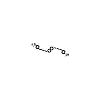 CNc1ccc(CCCCCc2ccc3cc(CCCCCc4ccc(N)cc4)ccc3c2)cc1